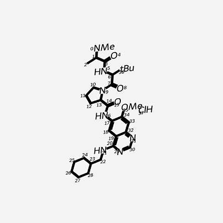 CNC(C)C(=O)NC(C(=O)N1CCCC1C(=O)Nc1cc2c(NCC3CCCCC3)ncnc2cc1OC)C(C)(C)C.Cl